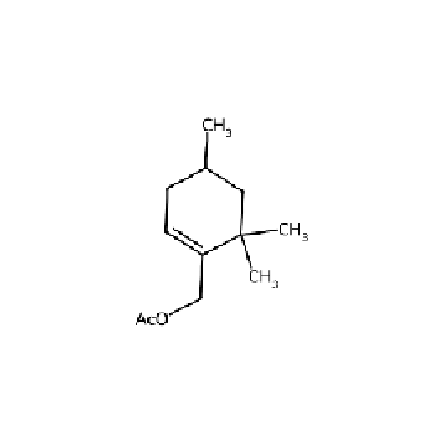 CC(=O)OCC1=CCC(C)CC1(C)C